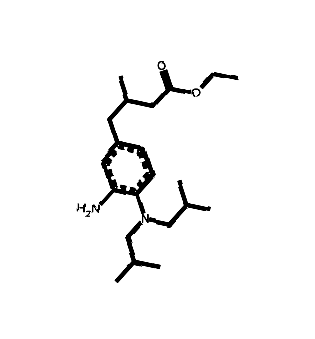 CCOC(=O)CC(C)Cc1ccc(N(CC(C)C)CC(C)C)c(N)c1